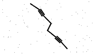 CC#C[CH]CC#CC